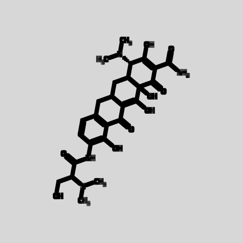 CN(C)C(CO)C(=O)Nc1ccc2c(c1O)C(=O)C1=C(O)C3(O)C(=O)C(C(N)=O)=C(O)[C@@H](N(C)C)C3CC1C2